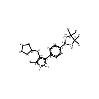 Cc1noc(-c2ccc(B3OC(C)(C)C(C)(C)O3)cc2)c1C[C]1CCCC1